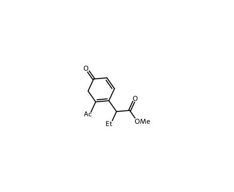 CCC(C(=O)OC)C1=C(C(C)=O)CC(=O)C=C1